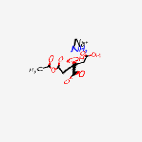 CC(=O)OC(=O)CC(O)(CC(=O)O)C(=O)[O-].N.[Na+]